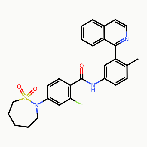 Cc1ccc(NC(=O)c2ccc(N3CCCCCS3(=O)=O)cc2F)cc1-c1nccc2ccccc12